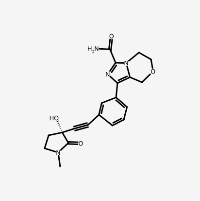 CN1CC[C@@](O)(C#Cc2cccc(-c3nc(C(N)=O)n4c3COCC4)c2)C1=O